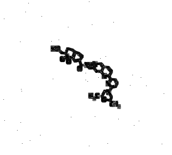 C[C@@H]1CN(c2cccc(-c3ccc4cnc(CNC(=O)c5ccc6c(c5)S(=O)(=O)[C@@H](CO)CC6)cc4n3)n2)C[C@H](C)O1